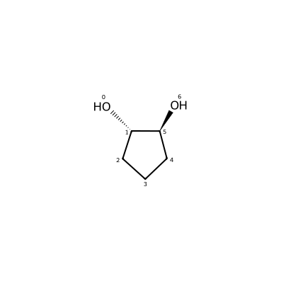 O[C@H]1CCC[C@@H]1O